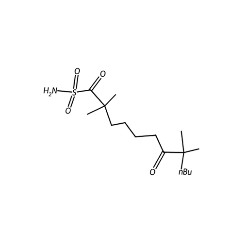 CCCCC(C)(C)C(=O)CCCCC(C)(C)C(=O)S(N)(=O)=O